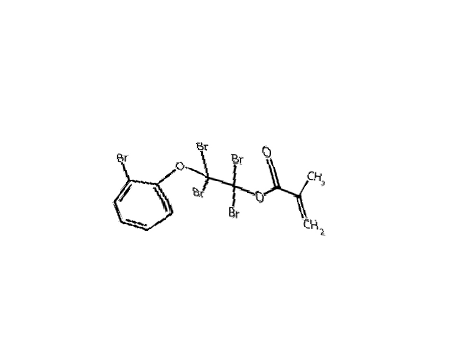 C=C(C)C(=O)OC(Br)(Br)C(Br)(Br)Oc1ccccc1Br